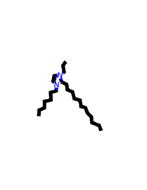 CCCCCCCCCCCCc1n(CCC)cc[n+]1CCCCCCC